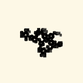 COc1ccc(C(OC[C@H]2O[C@@H](n3cnc4c(=O)[nH]c(NC(=O)CCNC(=O)c5ccsc5)nc43)CC2OP(OCCC#N)OC[C@H]2O[C@@H](n3cc(C)c(=O)[nH]c3=O)CC2OC(=O)CCC(C)=O)(c2ccccc2)c2ccc(OC)cc2)cc1